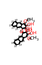 COc1c(O)c(O)c(Oc2c(O)c(O)c(OC)c3cc4ccccc4cc23)c2cc3ccccc3cc12